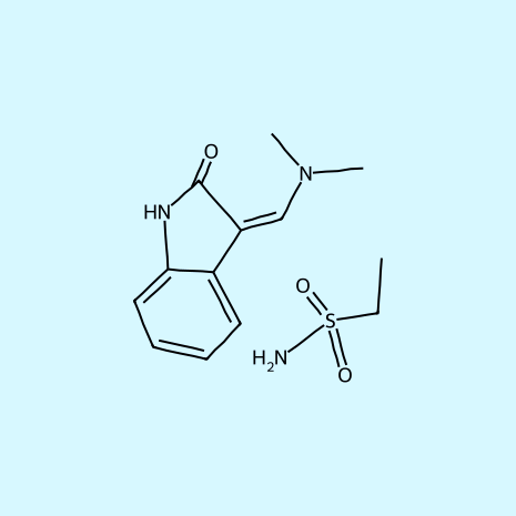 CCS(N)(=O)=O.CN(C)C=C1C(=O)Nc2ccccc21